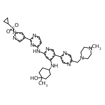 CN1CCN(Cc2cnc(-c3cnc(Nc4ccnc(-c5cnn(S(=O)(=O)C6CC6)c5)n4)cc3NC3CCC(C)(O)CC3)cn2)CC1